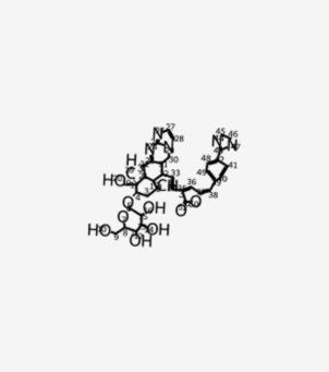 C[C@]12CC[C@@H](OC3OC(CO)C(O)C(O)C3O)[C@@](C)(CO)C1CC1=Nc3nccn3CC1C2/C=C/C1=CC(=C\c2ccc(C3=NCC=N3)cc2)/OC1=O